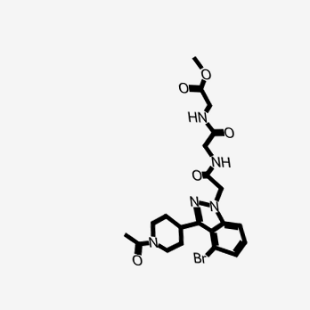 COC(=O)CNC(=O)CNC(=O)Cn1nc(C2CCN(C(C)=O)CC2)c2c(Br)cccc21